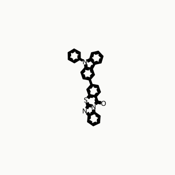 O=c1c2ccc(-c3ccc4c(c3)c3ccccc3n4-c3ccccc3)cc2sc2nc3ccccc3n12